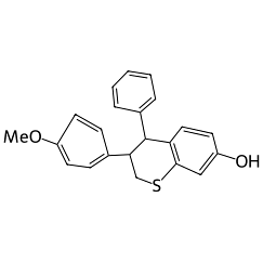 COc1ccc(C2CSc3cc(O)ccc3C2c2ccccc2)cc1